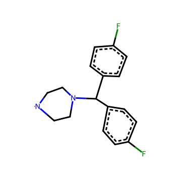 Fc1ccc(C(c2ccc(F)cc2)N2CC[N]CC2)cc1